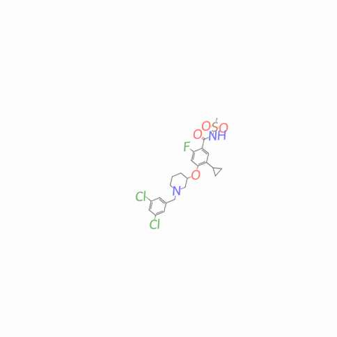 CS(=O)(=O)NC(=O)c1cc(C2CC2)c(OC2CCCN(Cc3cc(Cl)cc(Cl)c3)C2)cc1F